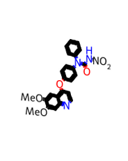 COc1cc2nccc(Oc3ccc(N(C(=O)N[N+](=O)[O-])c4ccccc4)cc3)c2cc1OC